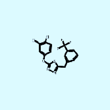 FC(F)(F)c1cccc(Cc2nnc(Oc3ccc(Cl)c(Cl)c3)s2)c1